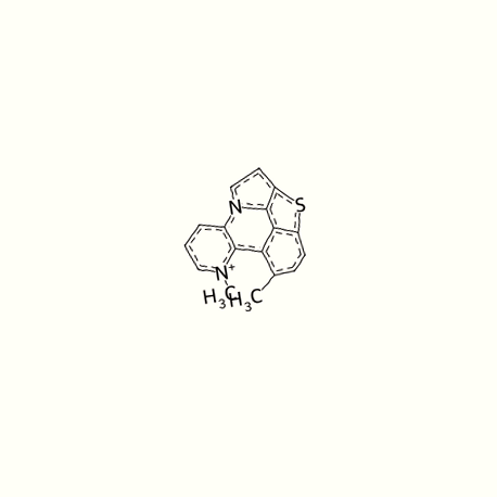 Cc1ccc2sc3ccn4c5ccc[n+](C)c5c1c2c34